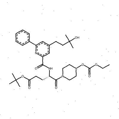 CCOC(=O)ON1CCN(C(=O)[C@H](CCC(=O)OC(C)(C)C)NC(=O)c2cc(CCC(C)(C)O)cc(-c3ccccc3)n2)CC1